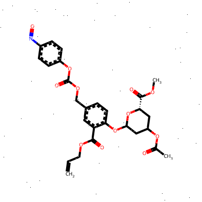 C=CCOC(=O)c1cc(COC(=O)Oc2ccc(N=O)cc2)ccc1OC1CC(OC(C)=O)C[C@@H](C(=O)OC)O1